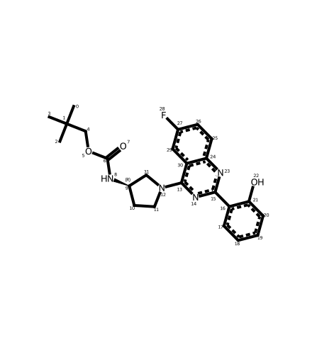 CC(C)(C)COC(=O)N[C@@H]1CCN(c2nc(-c3ccccc3O)nc3ccc(F)cc23)C1